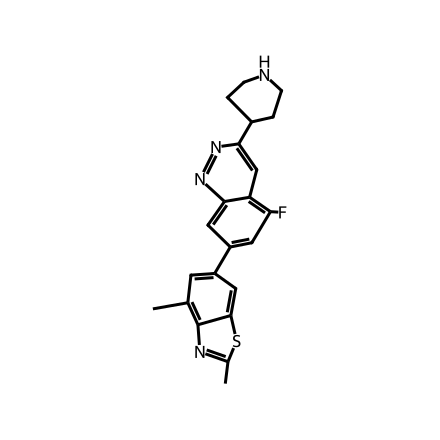 Cc1nc2c(C)cc(-c3cc(F)c4cc(C5CCNCC5)nnc4c3)cc2s1